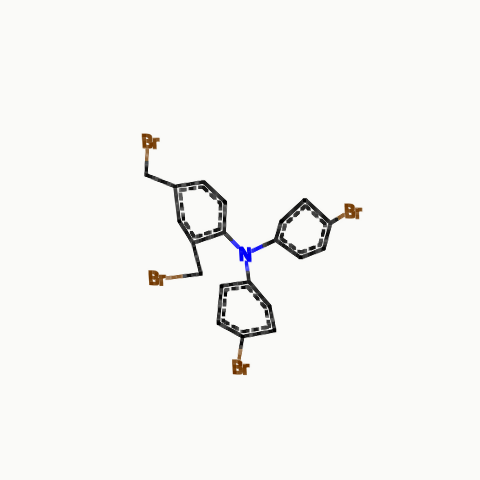 BrCc1ccc(N(c2ccc(Br)cc2)c2ccc(Br)cc2)c(CBr)c1